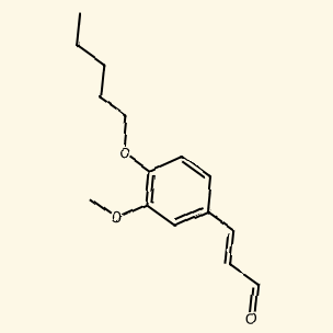 CCCCCOc1ccc(C=CC=O)cc1OC